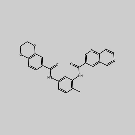 Cc1ccc(NC(=O)c2ccc3c(c2)OCCO3)cc1NC(=O)c1cnc2ccncc2c1